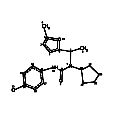 Cc1ccc(C(C)N(C(=O)Nc2ccc(Cl)cc2)C2CCCC2)o1